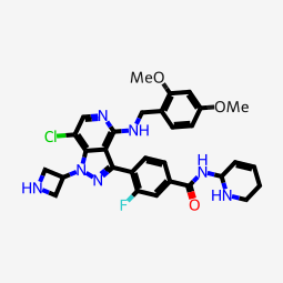 COc1ccc(CNc2ncc(Cl)c3c2c(-c2ccc(C(=O)NC4C=CCCN4)cc2F)nn3C2CNC2)c(OC)c1